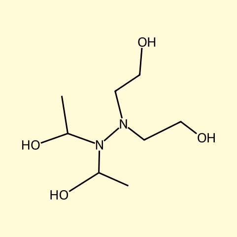 CC(O)N(C(C)O)N(CCO)CCO